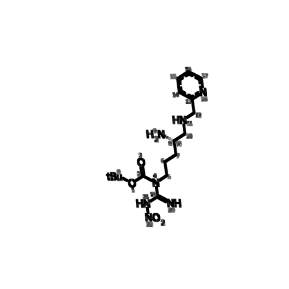 CC(C)(C)OC(=O)N(CCC[C@H](N)CNCc1ccccn1)C(=N)N[N+](=O)[O-]